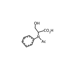 CC(=O)N(c1ccccc1)C(CO)C(=O)O